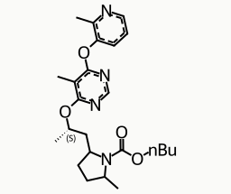 CCCCOC(=O)N1C(C)CCC1C[C@H](C)Oc1ncnc(Oc2cccnc2C)c1C